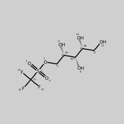 O=S(=O)(OC[C@H](O)[C@@H](O)[C@H](O)CO)C(F)(F)F